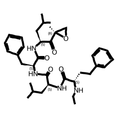 CCN[C@@H](CCc1ccccc1)C(=O)N[C@@H](CC(C)C)C(=O)N[C@@H](Cc1ccccc1)C(=O)N[C@@H](CC(C)C)C(=O)[C@@]1(C)CO1